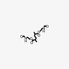 CC(CCC(C)C(=O)OCCNC=O)C(=O)OCCNC=O